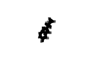 Cc1ccc2nc(C(C)(C)C3CC3)cn2c1